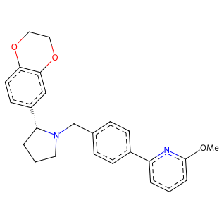 COc1cccc(-c2ccc(CN3CCC[C@@H]3c3ccc4c(c3)OCCO4)cc2)n1